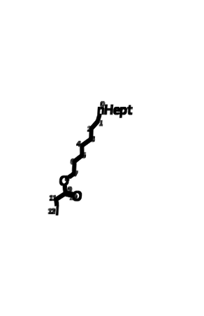 CCCCCCCCCCCCCCOC(=O)CI